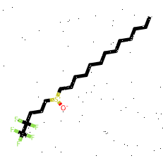 [CH2]CCCCCCCCCCCC[S+]([O-])CCCC(F)(F)C(F)(F)F